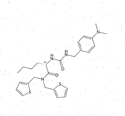 CCCC[C@H](NC(=O)NCc1ccc(N(C)C)cc1)C(=O)N(Cc1cccs1)Cc1cccs1